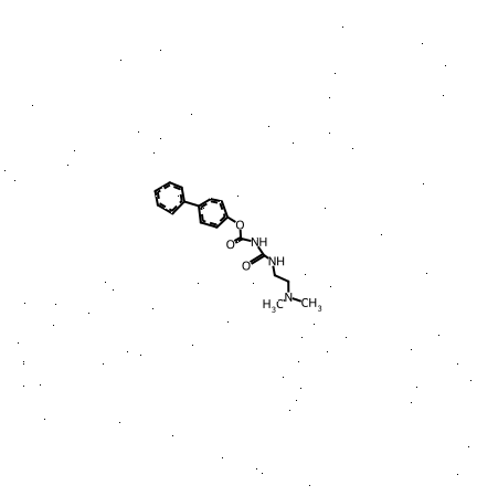 CN(C)CCNC(=O)NC(=O)Oc1ccc(-c2ccccc2)cc1